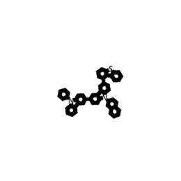 c1ccc(-n2c3ccccc3c3cc(-c4ccc5c(c4)c4cc(-c6cccc7sc8ccccc8c67)ccc4n5-c4ccc5ccccc5c4)ccc32)cc1